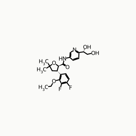 CCOc1c([C@@H]2CC(C)(C)O[C@H]2C(=O)Nc2ccc([C@H](O)CO)nc2)ccc(F)c1F